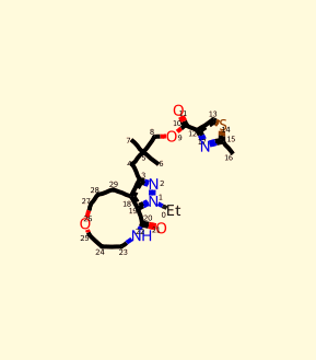 CCn1nc(CC(C)(C)COC(=O)c2csc(C)n2)c2c1C(=O)NCCCOCCC2